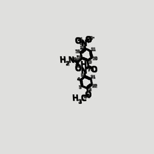 COc1ccc(NC(=O)c2ccc([N+](=O)[O-])cc2C(N)=O)cc1